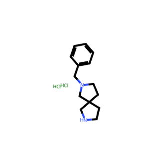 Cl.Cl.c1ccc(CN2CCC3(CCNC3)C2)cc1